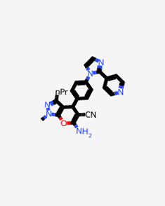 CCCc1nn(C)c2c1C(c1ccc(-n3ccnc3-c3ccncc3)cc1)C(C#N)=C(N)O2